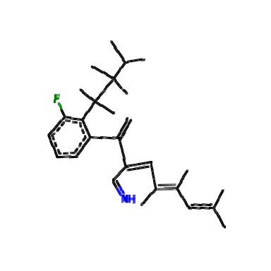 C=C(/C(C=N)=C/C(C)=C(\C)C=C(C)C)c1cccc(F)c1C(C)(C)C(C)(C)C(C)C